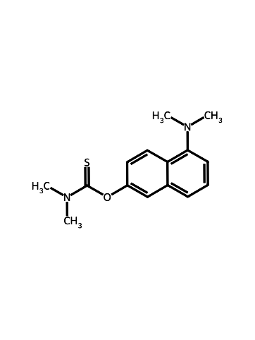 CN(C)C(=S)Oc1ccc2c(N(C)C)cccc2c1